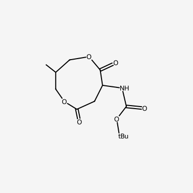 CC1COC(=O)CC(NC(=O)OC(C)(C)C)C(=O)OC1